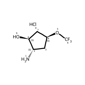 Cl.N[C@H]1C[C@H](OC(F)(F)F)C[C@@H]1O